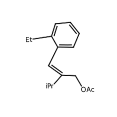 CCc1ccccc1C=C(COC(C)=O)C(C)C